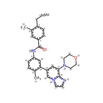 CNCc1ccc(C(=O)Nc2ccc(C)c(-c3cc(N4CCOCC4)c4nccn4c3)c2)cc1C(F)(F)F